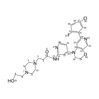 O=C(CCN1CCN(CCO)CC1)Nc1cc(N2CCOc3cnc(-c4cc(Cl)ccc4F)cc32)ccn1